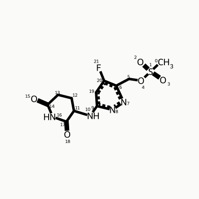 CS(=O)(=O)OCc1nnc(NC2CCC(=O)NC2=O)cc1F